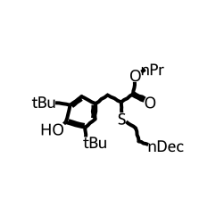 CCCCCCCCCCCCSC(Cc1cc(C(C)(C)C)c(O)c(C(C)(C)C)c1)C(=O)OCCC